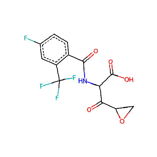 O=C(NC(C(=O)O)C(=O)C1CO1)c1ccc(F)cc1C(F)(F)F